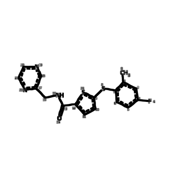 Cc1cc(F)ccc1Sc1ccc(C(=O)NCc2cnccn2)s1